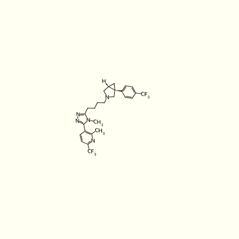 Cc1nc(C(F)(F)F)ccc1-c1nnc(CCCCN2C[C@@H]3C[C@]3(c3ccc(C(F)(F)F)cc3)C2)n1C